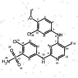 COc1ccc(Nc2nc(Nc3ccc(Cl)c(S(N)(=O)=O)c3)ncc2F)cc1Cl